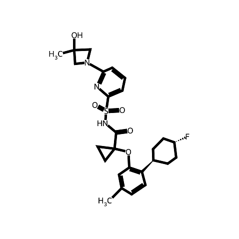 Cc1ccc([C@H]2CC[C@H](F)CC2)c(OC2(C(=O)NS(=O)(=O)c3cccc(N4CC(C)(O)C4)n3)CC2)c1